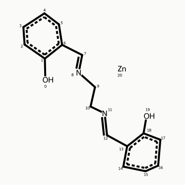 Oc1ccccc1/C=N/CC/N=C/c1ccccc1O.[Zn]